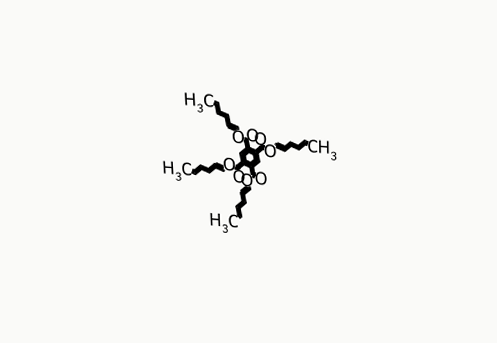 CCCCC=COC(=O)c1cc(C(=O)OC=CCCCC)c(C(=O)OC=CCCCC)cc1C(=O)OC=CCCCC